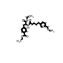 CCOC(=O)c1ccc(CC(NC(=O)CCCCc2ccc(C=NN)cc2)C(=O)OCC)cc1